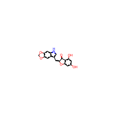 O=C1/C(=C\c2c[nH]c3cc4c(cc23)OCO4)Oc2cc(O)cc(O)c21